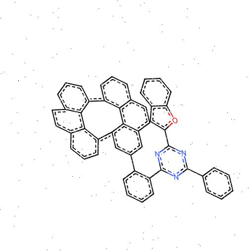 c1ccc(-c2nc(-c3cc4ccccc4o3)nc(-c3ccccc3-c3cc4ccc5cccc6c7cccc8ccc9cccc(c(c3)c4c56)c9c87)n2)cc1